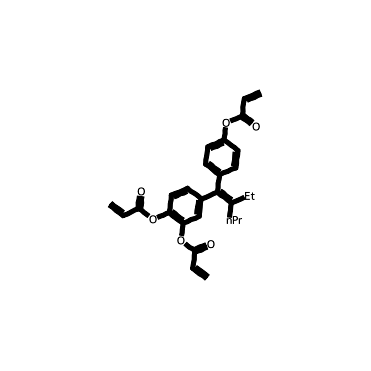 C=CC(=O)Oc1ccc(/C(=C(\CC)CCC)c2ccc(OC(=O)C=C)c(OC(=O)C=C)c2)cc1